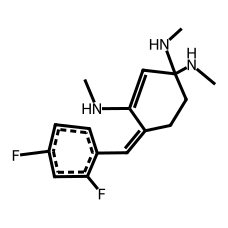 CNC1=CC(NC)(NC)CCC1=Cc1ccc(F)cc1F